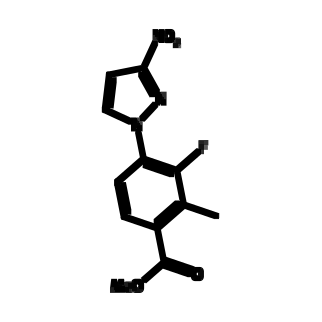 COC(=O)c1ccc(-n2ccc([N+](=O)[O-])n2)c(F)c1C